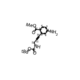 COC(=O)c1ccc(N)cc1C#CCNC(=O)OC(C)(C)C